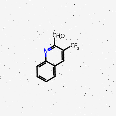 O=Cc1nc2ccccc2cc1C(F)(F)F